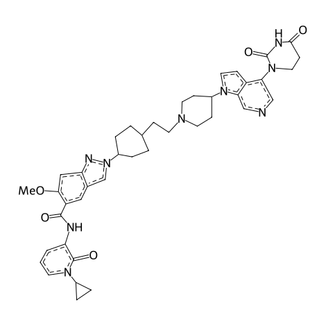 COc1cc2nn(C3CCC(CCN4CCC(n5ccc6c(N7CCC(=O)NC7=O)cncc65)CC4)CC3)cc2cc1C(=O)Nc1cccn(C2CC2)c1=O